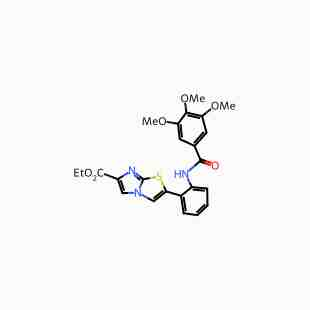 CCOC(=O)c1cn2cc(-c3ccccc3NC(=O)c3cc(OC)c(OC)c(OC)c3)sc2n1